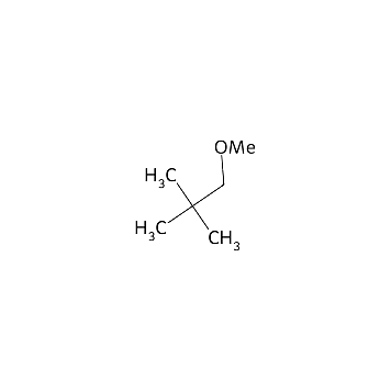 COCC(C)(C)C